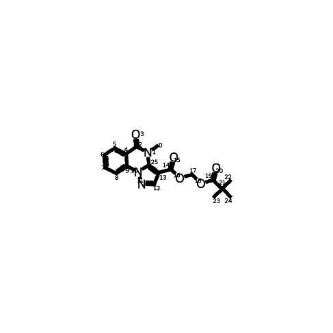 Cn1c(=O)c2ccccc2n2ncc(C(=O)OCOC(=O)C(C)(C)C)c12